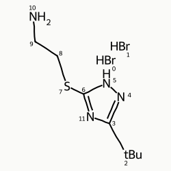 Br.Br.CC(C)(C)c1n[nH]c(SCCN)n1